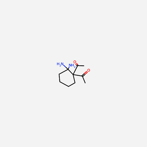 CC(=O)C1(C(C)=O)CCCCC1(N)N